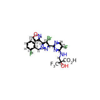 O=C(O)C(O)(CNc1nc(-c2nn(Cc3ccccc3F)c(-c3ccon3)c2Br)ncc1F)C(F)(F)F